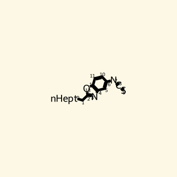 CCCCCCCCc1nc2cc(N=C=S)ccc2o1